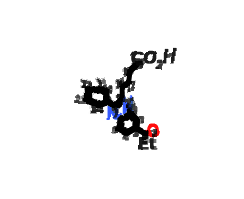 CCC(=O)c1ccc2nc(-c3ccccc3)c(CCCCC(=O)O)nc2c1